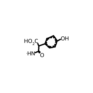 [NH]C(=O)C(C(=O)O)c1ccc(O)cc1